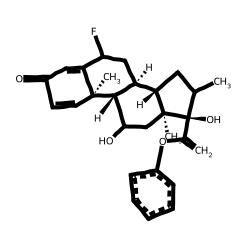 C=C(Oc1ccccc1)[C@@]1(O)C(C)C[C@H]2[C@@H]3CC(F)C4=CC(=O)C=C[C@]4(C)[C@H]3C(O)C[C@@]21C